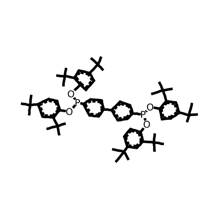 CC(C)(C)c1ccc(OP(Oc2ccc(C(C)(C)C)cc2C(C)(C)C)c2ccc(-c3ccc(P(Oc4ccc(C(C)(C)C)cc4C(C)(C)C)Oc4ccc(C(C)(C)C)cc4C(C)(C)C)cc3)cc2)c(C(C)(C)C)c1